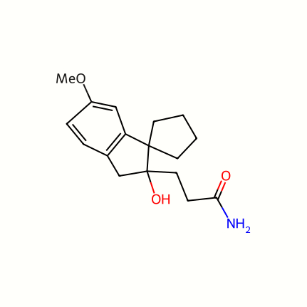 COc1ccc2c(c1)C1(CCCC1)C(O)(CCC(N)=O)C2